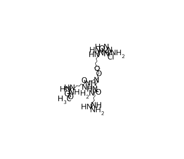 COC(=O)NC(=N)NCCCC[C@@H](N)C(=O)NCCCN(CCCNC(=O)[C@H](N)CCCCNC(=N)N)CCOc1ccc(CCCCNC(=N)NC(=O)c2nc(Cl)c(N)nc2N)cc1